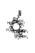 C=C[C@H]1NC[C@H](C)C[C@@](C)(OC)[C@H](O[C@@H]2OC(C)CC(N(C)C)C2O)[C@@H](C)C(=O)[C@@H](C)C(=O)O[C@H](CC)[C@@]2(C)OC(=O)N(CCCCN=[N+]=[N-])[C@H]12